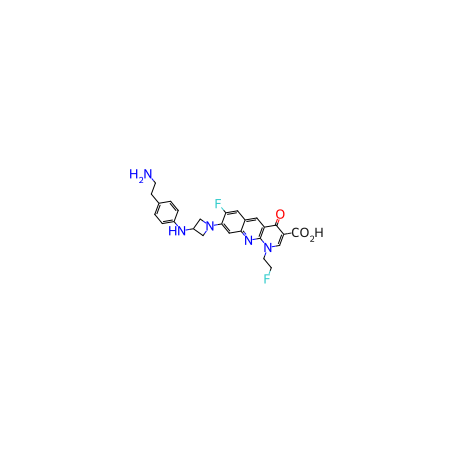 NCCc1ccc(NC2CN(c3cc4nc5c(cc4cc3F)c(=O)c(C(=O)O)cn5CCF)C2)cc1